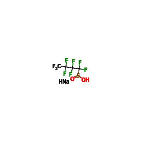 O=S(O)C(F)(F)C(F)(F)C(F)(F)C(F)(F)F.[NaH]